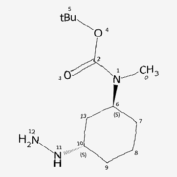 CN(C(=O)OC(C)(C)C)[C@H]1CCC[C@H](NN)C1